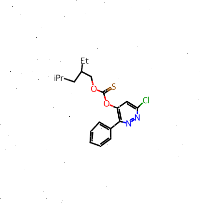 CCC(COC(=S)Oc1cc(Cl)nnc1-c1ccccc1)CC(C)C